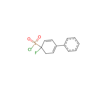 O=S(=O)(Cl)C1(F)C=CC(c2ccccc2)=CC1